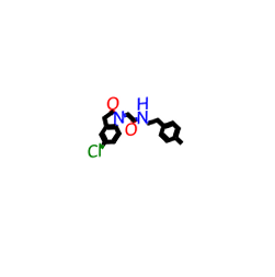 Cc1ccc(CCNC(=O)CN2C(=O)Cc3cc(Cl)ccc32)cc1